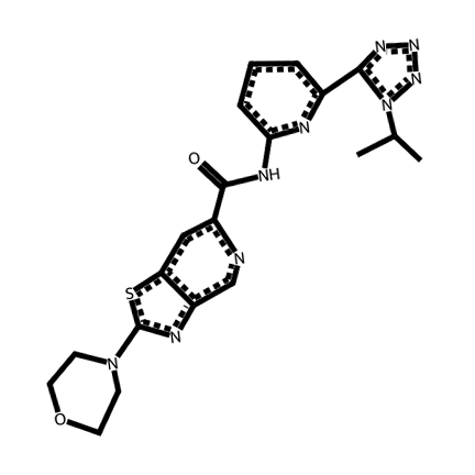 CC(C)n1nnnc1-c1cccc(NC(=O)c2cc3sc(N4CCOCC4)nc3cn2)n1